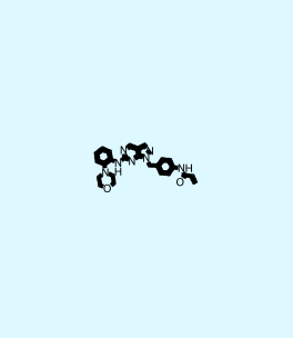 C=CC(=O)Nc1ccc(Cn2ncc3cnc(Nc4ccccc4N4CCOCC4)nc32)cc1